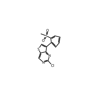 CS(=O)(=O)c1ccccc1-c1csc2cnc(Cl)nc12